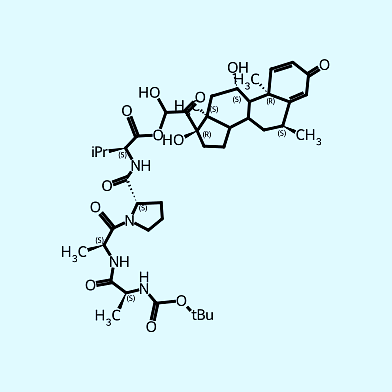 CC(C)[C@H](NC(=O)[C@@H]1CCCN1C(=O)[C@H](C)NC(=O)[C@H](C)NC(=O)OC(C)(C)C)C(=O)OC(O)C(=O)[C@@]1(O)CCC2C3C[C@H](C)C4=CC(=O)C=C[C@]4(C)C3[C@@H](O)C[C@@]21C